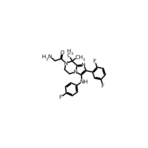 CC1(C)c2nc(-c3cc(F)ccc3F)c(Nc3ccc(F)cc3)n2CCN1C(=O)CN